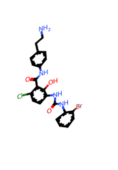 NCCc1ccc(NC(=O)c2c(Cl)ccc(NC(=O)Nc3ccccc3Br)c2O)cc1